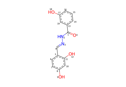 O=C(NN=Cc1ccc(O)cc1O)c1cccc(O)c1